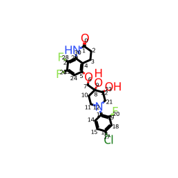 O=C1CCc2c(OCC3(O)CCN(c4ccc(Cl)cc4F)CC3O)cc(F)c(F)c2N1